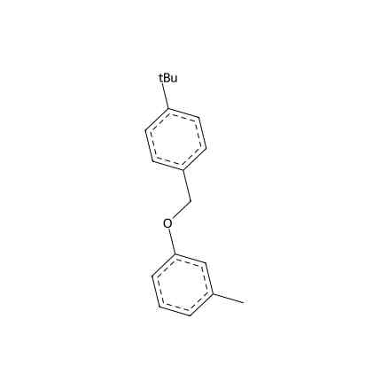 Cc1cccc(OCc2ccc(C(C)(C)C)cc2)c1